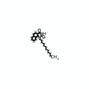 CCCCCCCCCCCCn1c(=O)[nH]c(=O)c2ccc3ccccc3c21